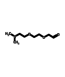 CN(C)CCOCCOC[C]=O